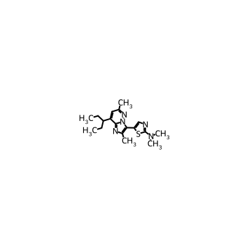 CCC(CC)c1cc(C)nn2c(-c3cnc(N(C)C)s3)c(C)nc12